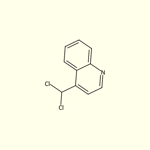 ClC(Cl)c1ccnc2ccccc12